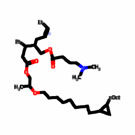 CC/C=C\CC(COC(=O)CCCN(C)C)C(CC)CC(=O)OCC(C)OCCCCCCCCC1CC1CCCCCCCC